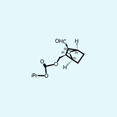 CC(C)OC(=O)OC[C@H]1[C@@H](C=O)[C@H]2CC[C@@H]1O2